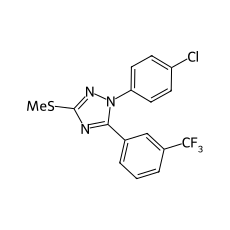 CSc1nc(-c2cccc(C(F)(F)F)c2)n(-c2ccc(Cl)cc2)n1